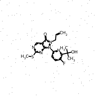 C=CCn1c(=O)c2cnc(SC)nc2n1-c1ccc(F)c(C(C)(C)O)n1